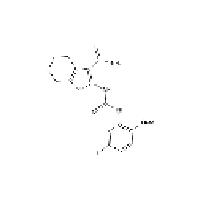 COc1ccc(Cl)cc1NC(=O)Nc1sc2c(c1C(N)=O)CCOC2